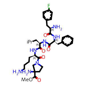 COC(=O)C1(N)CCN(C(=O)[C@@H](CCCCN)NC(=O)[C@@H](CC(C)C)NC(=O)[C@@H](Cc2ccccc2)NC(=O)[C@H](N)Cc2ccc(F)cc2)C1